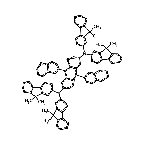 CC1(C)c2ccccc2-c2ccc(N(c3ccc4c(c3)C(C)(C)c3ccccc3-4)c3ccc4c(-c5ccc6ccccc6c5)c5cc(N(c6ccc7c(c6)C(C)(C)c6ccccc6-7)c6ccc7c(c6)C(C)(C)c6ccccc6-7)ccc5c(-c5ccc6ccccc6c5)c4c3)cc21